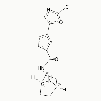 O=C(N[C@@H]1C[C@H]2CC[C@@H]1N2)c1ccc(-c2nnc(Cl)o2)s1